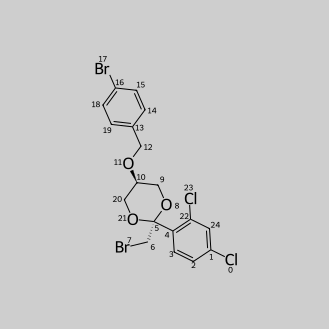 Clc1ccc([C@]2(CBr)OC[C@H](OCc3ccc(Br)cc3)CO2)c(Cl)c1